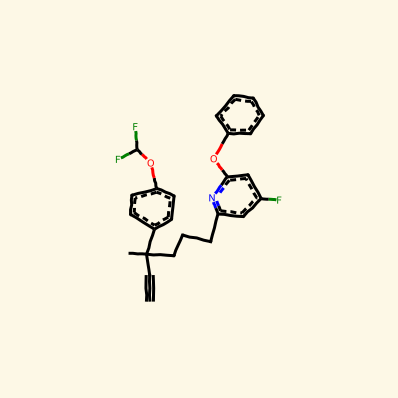 C#CC(C)(CCCc1cc(F)cc(Oc2ccccc2)n1)c1ccc(OC(F)F)cc1